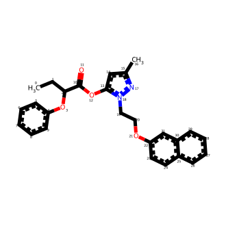 CCC(Oc1ccccc1)C(=O)Oc1cc(C)nn1CCOc1ccc2ccccc2c1